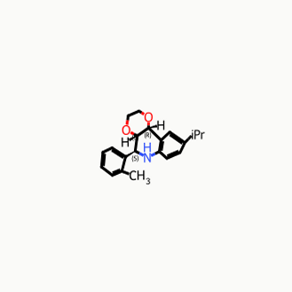 Cc1ccccc1[C@@H]1Nc2ccc(C(C)C)cc2[C@H]2OCCO[C@H]21